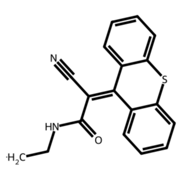 [CH2]CNC(=O)C(C#N)=C1c2ccccc2Sc2ccccc21